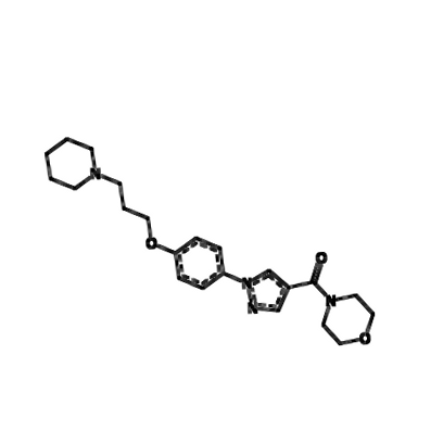 O=C(c1cnn(-c2ccc(OCCCN3CCCCC3)cc2)c1)N1CCOCC1